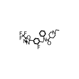 CCN1CCC(C(=O)N(Cc2ccc(-c3nnc(C(F)(F)F)o3)cc2F)c2ccccc2)CC1